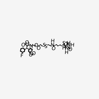 O=C(CCCC[C@@H]1SC[C@@H]2NC(=O)N[C@@H]21)NCCSSCCC(=O)OCCN1C2=C(C(=O)OC2)C(c2cccc(F)c2)c2cc3c(cc21)OCO3